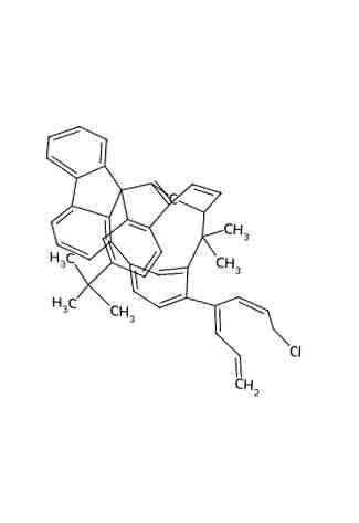 C=C/C=C(\C=C/CCl)c1ccc2cc1C(C)(C)C1C=CC3=C(C1)C1(c4cc(C(C)(C)C)ccc43)c3ccccc3-c3cccc-2c31